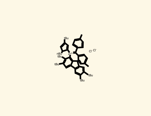 CCCCC1C=C(C(C)(C)C)C=[C]1[Zr+2](=[C](c1ccc(C)cc1)c1ccc(C)cc1)[c]1c2c(cc(C(C)(C)C)c1C(C)(C)C)-c1cc(C(C)(C)C)c(C(C)(C)C)cc1C2.[Cl-].[Cl-]